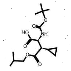 CC(C)COC(=O)[C@H](C1CC1)[C@H](NC(=O)OC(C)(C)C)C(=O)O